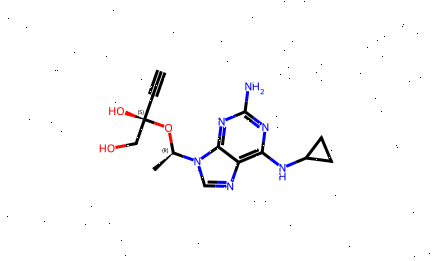 C#C[C@@](O)(CO)O[C@H](C)n1cnc2c(NC3CC3)nc(N)nc21